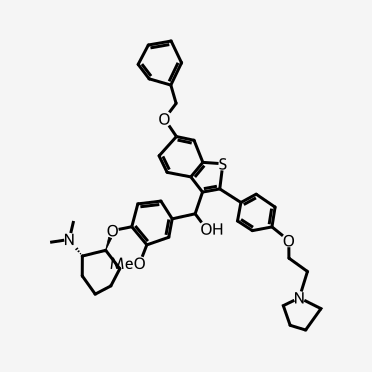 COc1cc(C(O)c2c(-c3ccc(OCCN4CCCC4)cc3)sc3cc(OCc4ccccc4)ccc23)ccc1O[C@H]1CCCC[C@@H]1N(C)C